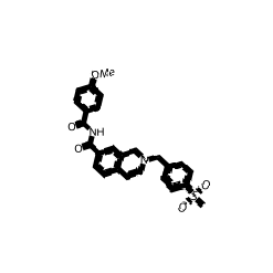 COc1ccc(C(=O)NC(=O)c2ccc3c(c2)CN(Cc2ccc(S(C)(=O)=O)cc2)C=C3)cc1